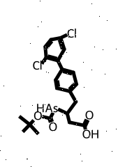 CC(C)(C)OC(=O)[AsH]C(CC(=O)O)Cc1ccc(-c2cc(Cl)ccc2Cl)cc1